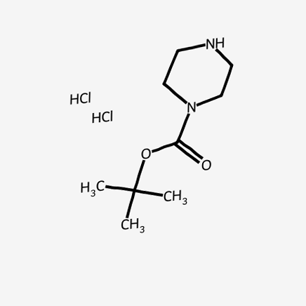 CC(C)(C)OC(=O)N1CCNCC1.Cl.Cl